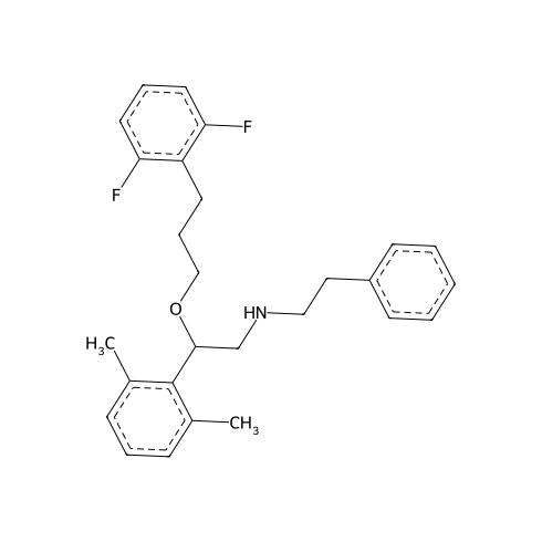 Cc1cccc(C)c1C(CNCCc1ccccc1)OCCCc1c(F)cccc1F